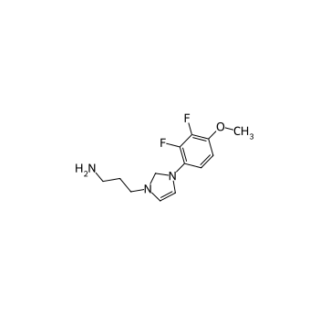 COc1ccc(N2C=CN(CCCN)C2)c(F)c1F